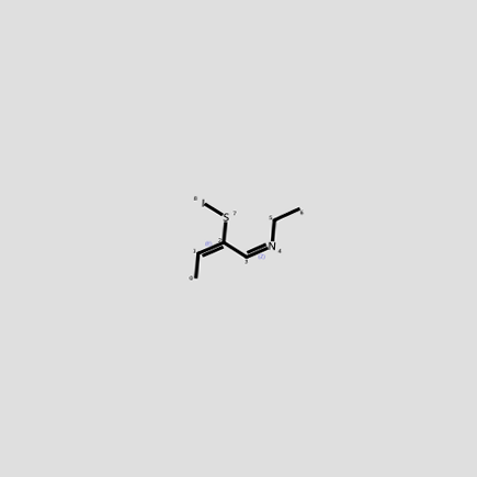 C/C=C(\C=N/CC)SI